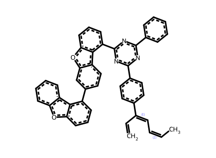 C=C/C(=C\C=C/C)c1ccc(-c2nc(-c3ccccc3)nc(-c3cccc4oc5cc(-c6cccc7oc8ccccc8c67)ccc5c34)n2)cc1